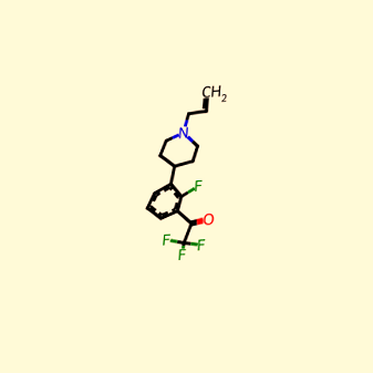 C=CCN1CCC(c2cccc(C(=O)C(F)(F)F)c2F)CC1